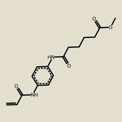 C=CC(=O)Nc1ccc(NC(=O)CCCCC(=O)OC)cc1